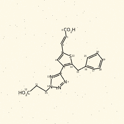 O=C(O)C=Cc1cc(-c2nnn(CCC(=O)O)n2)c(Cc2ccccc2)s1